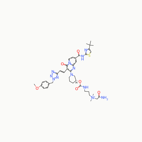 COc1ccc(Cn2nnc(C=Cc3c(N4CCC[C@@H](OC(=O)NCCC[N+](C)(C)CC(N)=O)C4)nc4cc(C(=O)Nc5nc(C(C)(C)C)cs5)ccn4c3=O)n2)cc1